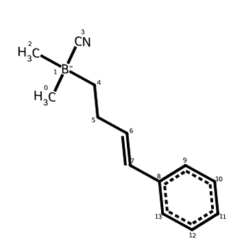 C[B-](C)(C#N)CCC=Cc1ccccc1